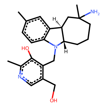 Cc1ccc2c(c1)[C@H]1CC(C)(N)CCC[C@@H]1N2Cc1c(CO)cnc(C)c1O